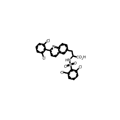 O=C(O)C(Cc1ccc2nc(-c3c(Cl)cccc3Cl)ccc2c1)NS(=O)(=O)c1c(Cl)cccc1Cl